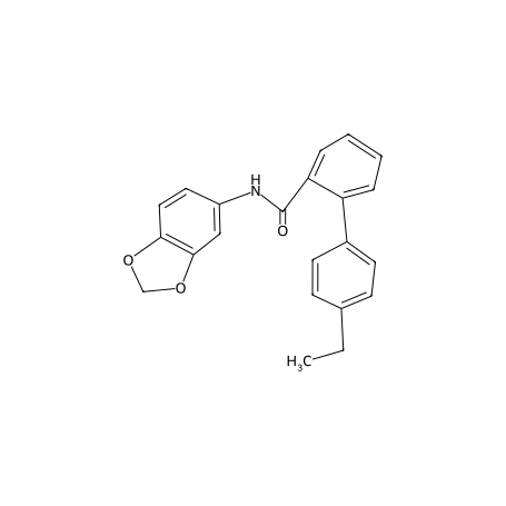 CCc1ccc(-c2ccccc2C(=O)Nc2ccc3c(c2)OCO3)cc1